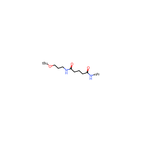 CCCNC(=O)CCCC(=O)NCCCOC(C)(C)C